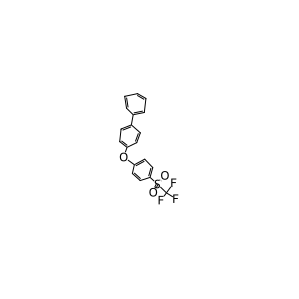 O=S(=O)(c1ccc(Oc2ccc(-c3ccccc3)cc2)cc1)C(F)(F)F